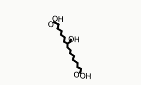 O=C(O)CCCCCCCCC(CO)CCCCCCC(=O)O